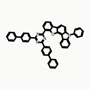 c1ccc(-c2ccc(-c3nc(-c4ccc(-c5ccccc5)cc4)nc(-c4cccc5c4oc4c5ccc5c4c4ccccc4n5-c4ccccc4)n3)cc2)cc1